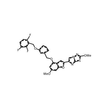 COc1cc(OCc2cccc(OCc3c(F)ccc(F)c3F)c2)c2cc(-c3cn4nc(OC)sc4n3)oc2c1